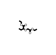 CCOC(=O)COC(CC)C(=O)OCC